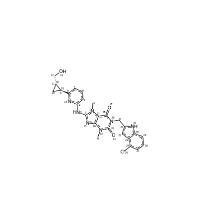 Cn1c(Nc2cccc([C@H]3C[C@@H]3CO)n2)nc2c1c(=O)n(Cc1cc3c(Cl)cccc3[nH]1)c(=O)n2C